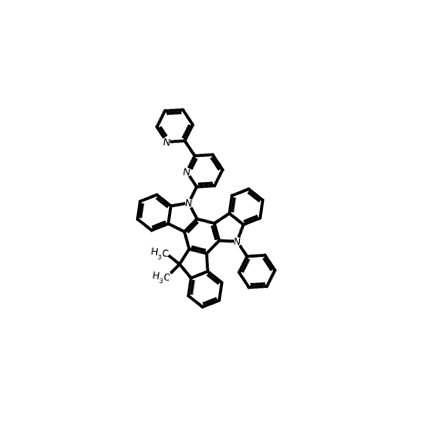 CC1(C)c2ccccc2-c2c1c1c3ccccc3n(-c3cccc(-c4ccccn4)n3)c1c1c3ccccc3n(-c3ccccc3)c21